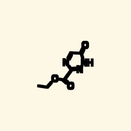 CCOC(=O)c1ncc(=O)[nH]n1